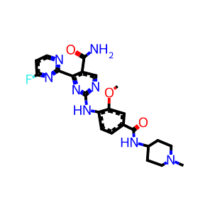 COc1cc(C(=O)NC2CCN(C)CC2)ccc1Nc1ncc(C(N)=O)c(-c2nccc(F)n2)n1